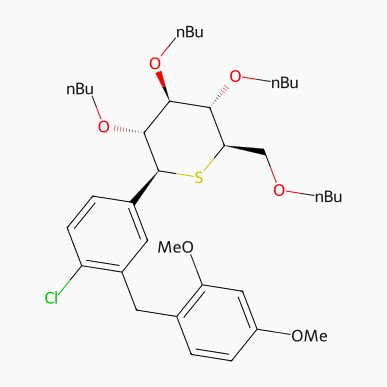 CCCCOC[C@H]1S[C@@H](c2ccc(Cl)c(Cc3ccc(OC)cc3OC)c2)[C@H](OCCCC)[C@@H](OCCCC)[C@@H]1OCCCC